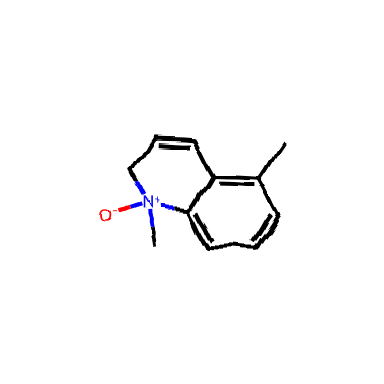 Cc1cccc2c1C=CC[N+]2(C)[O-]